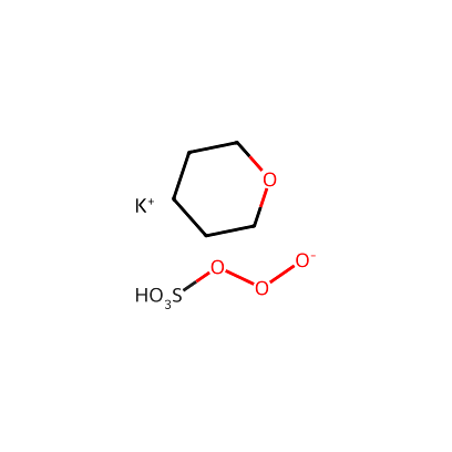 C1CCOCC1.O=S(=O)(O)OO[O-].[K+]